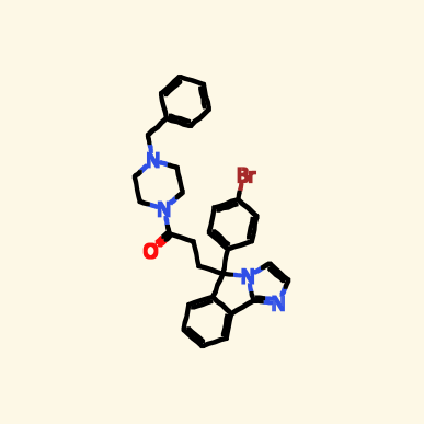 O=C(CCC1(c2ccc(Br)cc2)c2ccccc2-c2nccn21)N1CCN(Cc2ccccc2)CC1